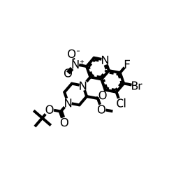 COC(=O)C1CN(C(=O)OC(C)(C)C)CCN1c1c([N+](=O)[O-])cnc2c(F)c(Br)c(Cl)cc12